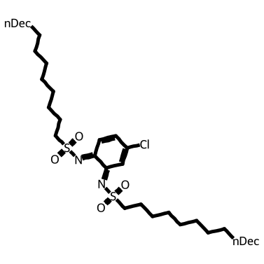 CCCCCCCCCCCCCCCCCCS(=O)(=O)N=C1C=CC(Cl)=CC1=NS(=O)(=O)CCCCCCCCCCCCCCCCCC